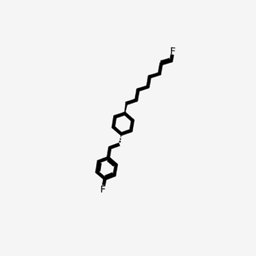 FC=CCCCCCC[C@H]1CC[C@H](CCc2ccc(F)cc2)CC1